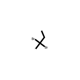 [CH2]C(Br)(Br)CC